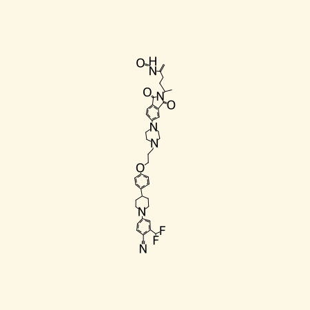 C=C(CCC(C)N1C(=O)c2ccc(N3CCN(CCCOc4ccc(C5CCN(c6ccc(C#N)c(C(F)F)c6)CC5)cc4)CC3)cc2C1=O)NC=O